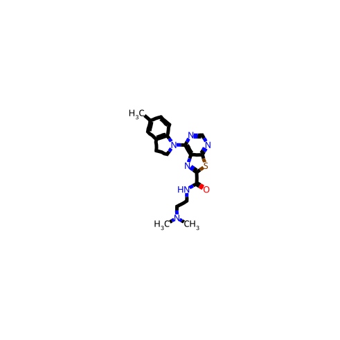 Cc1ccc2c(c1)CCN2c1ncnc2sc(C(=O)NCCN(C)C)nc12